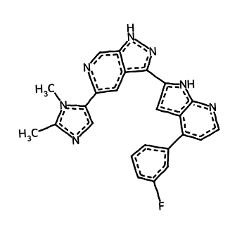 Cc1ncc(-c2cc3c(-c4cc5c(-c6cccc(F)c6)ccnc5[nH]4)n[nH]c3cn2)n1C